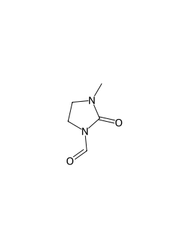 CN1CCN(C=O)C1=O